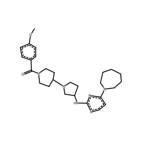 COc1ccc(C(=O)N2CCC(N3CCC(Nc4nccc(N5CCCCCC5)n4)C3)CC2)cc1